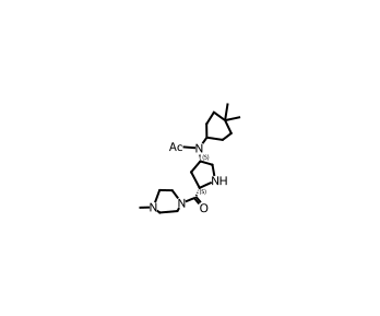 CC(=O)N(C1CCC(C)(C)CC1)[C@@H]1CN[C@H](C(=O)N2CCN(C)CC2)C1